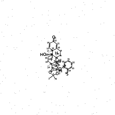 CC1(C)O[C@@H]2C[C@H]3[C@@H]4CCC5=CC(=O)C=C[C@]5(C)[C@@]4(F)[C@@H](O)C[C@]3(C)[C@]2(C(=O)On2ccccc2=S)O1